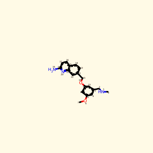 CNCc1cc(OC)cc(OCc2ccc3ccc(N)nc3c2)c1